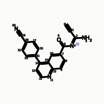 C#C/C(N)=N\C(=O)c1ccc2nccc(-c3ccc(C#N)cc3)c2c1